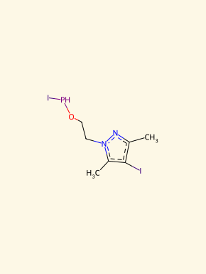 Cc1nn(CCOPI)c(C)c1I